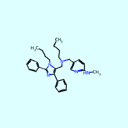 CCCCN(Cc1ccc(NC)nc1)Cc1c(-c2ccccc2)nc(-c2ccccc2)n1CCCC